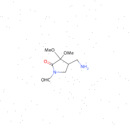 COC1(OC)C(=O)N(C=O)CC1CN